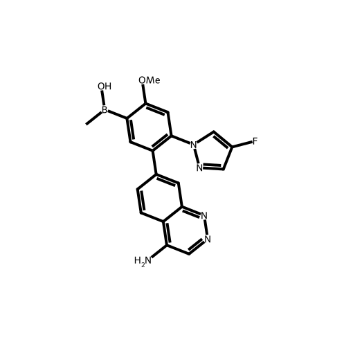 COc1cc(-n2cc(F)cn2)c(-c2ccc3c(N)cnnc3c2)cc1B(C)O